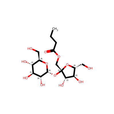 CCCC(=O)OC[C@@]1(O[C@H]2O[C@H](CO)[C@@H](O)[C@H](O)[C@H]2O)O[C@H](CO)[C@@H](O)[C@@H]1O